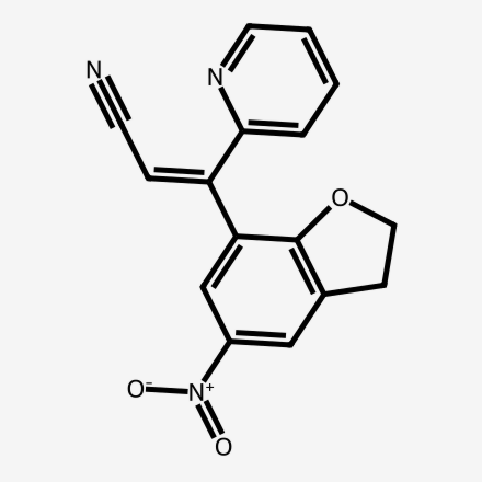 N#C/C=C(\c1ccccn1)c1cc([N+](=O)[O-])cc2c1OCC2